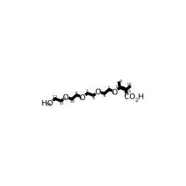 CC(OCCOCCOCCOCCO)=C(C)C(=O)O